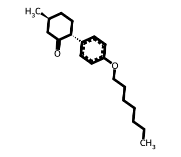 CCCCCCCOc1ccc([C@H]2CC[C@H](C)CC2=O)cc1